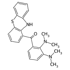 CN(C)c1cccc(C(=O)c2cccc3c2Nc2ccccc2S3)c1N(C)C